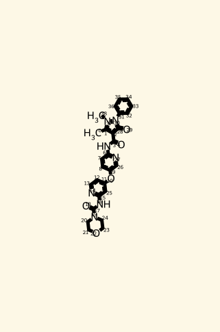 Cc1c(C(=O)Nc2ccc(Oc3ccnc(NC(=O)N4CCOCC4)c3)cn2)c(=O)n(-c2ccccc2)n1C